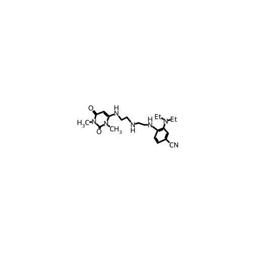 CCN(CC)c1cc(C#N)ccc1NCCNCCNc1cc(=O)n(C)c(=O)n1C